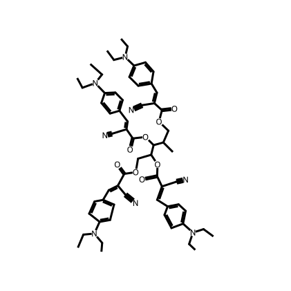 CCN(CC)c1ccc(/C=C(\C#N)C(=O)OCC(C)C(OC(=O)/C(C#N)=C/c2ccc(N(CC)CC)cc2)C(COC(=O)/C(C#N)=C/c2ccc(N(CC)CC)cc2)OC(=O)/C(C#N)=C/c2ccc(N(CC)CC)cc2)cc1